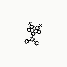 CC(C)(C)c1ccc2c(c1)c1cc(C(C)(C)C)ccc1n2-c1c(C2=CCCC=C2)cc(-c2nc(-c3cccnc3)nc(-c3cccnc3)n2)cc1-c1ccccc1